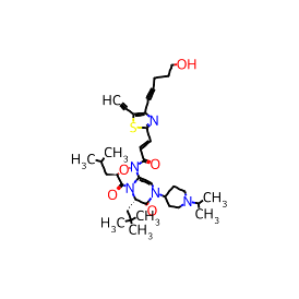 C#Cc1sc(/C=C/C(=O)N2O[C@H](CC(C)C)C(=O)N3C2=CN(C2CCN(C(C)C)CC2)C(=O)[C@@H]3CC(C)(C)C)nc1C#CCCCO